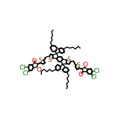 CCCCCCc1ccc(C2(c3ccc(CCCCCC)cc3)c3cc4c(cc3-c3sc(/C=c5\ccc(=C6C(=O)c7cc(Cl)c(Cl)cc7C6=O)s5)cc32)C(c2ccc(CCCCCC)cc2)(c2ccc(CCCCCC)cc2)c2cc(/C=c3\ccc(=C5C(=O)c6cc(Cl)c(Cl)cc6C5=O)s3)sc2-4)cc1